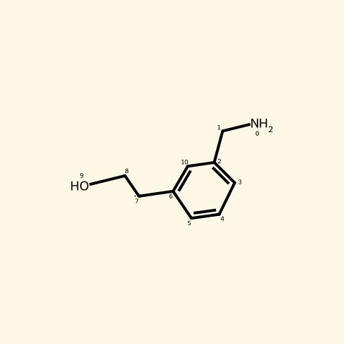 NCc1cccc([CH]CO)c1